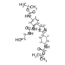 CC(C)OC(=O)Nc1ccc(-c2cnc(C3CCC(NC(=O)OC(C)C)CC3)s2)c(NC(=O)NCCO)c1